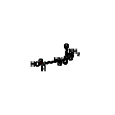 NC(=O)C(CCC=O)N1Cc2c(NC(=O)CCCCCCCNC(=O)CO)cccc2C1=O